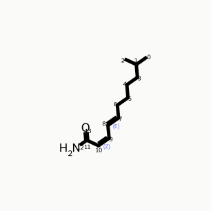 CC(C)CCCC/C=C/C=C\C(N)=O